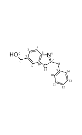 OCc1ccc2nc(Cc3ccccc3)oc2c1